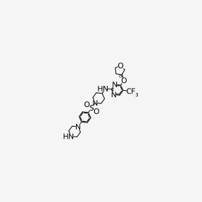 O=S(=O)(c1ccc(N2CCNCC2)cc1)N1CCC(Nc2ncc(C(F)(F)F)c(O[C@H]3CCOC3)n2)CC1